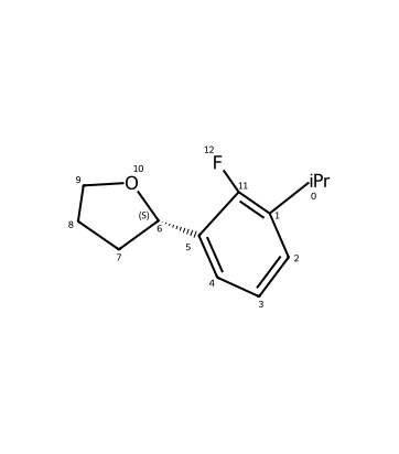 CC(C)c1cccc([C@@H]2CCCO2)c1F